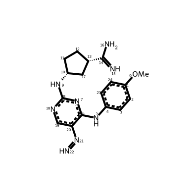 COc1ccc(Nc2nc(N[C@@H]3CC[C@H](C(=N)N)C3)ncc2N=N)cc1